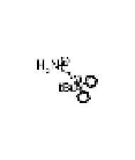 CC(C)(C)[Si](OCCCC(N)=O)(c1ccccc1)c1ccccc1